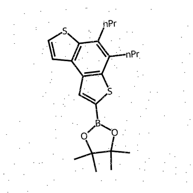 CCCc1c(CCC)c2sc(B3OC(C)(C)C(C)(C)O3)cc2c2ccsc12